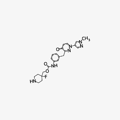 Cn1cc(-n2ccc(=O)c(Cc3cccc(NC(=O)OCC4(F)CCNCC4)c3)n2)cn1